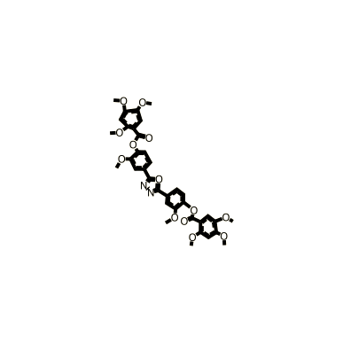 COc1cc(OC)c(C(=O)Oc2ccc(-c3nnc(-c4ccc(OC(=O)c5cc(OC)c(OC)cc5OC)c(OC)c4)o3)cc2OC)cc1OC